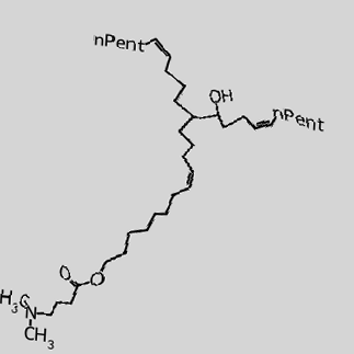 CCCCC/C=C\CCCC(CCC/C=C\CCCCCCCOC(=O)CCCN(C)C)C(O)CC/C=C\CCCCC